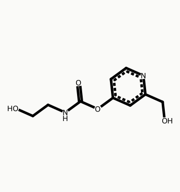 O=C(NCCO)Oc1ccnc(CO)c1